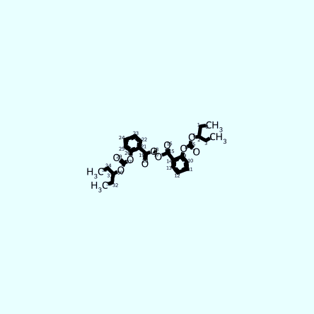 CCC(CC)OC(=O)Oc1ccccc1C(=O)OOC(=O)c1ccccc1OC(=O)OC(CC)CC